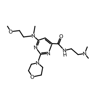 COCCN(C)c1cc(C(=O)NCCN(C)C)nc(N2CCOCC2)n1